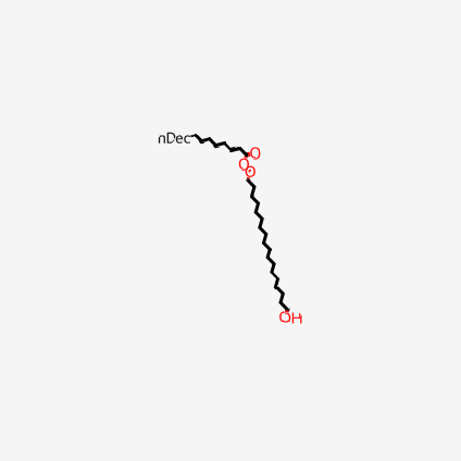 CCCCCCCCCCCCCCCCCC(=O)OOCCCCCCCCCCCCCCCCCCO